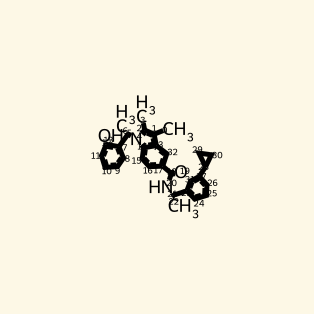 Cc1c(C)n(C(C)c2ccccc2O)c2ccc(C(=O)N[C@@H](C)c3cccc(C4CC4)c3)cc12